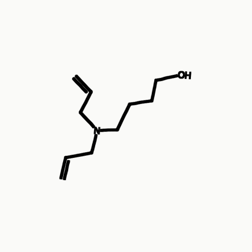 C=CCN(CC=C)CCCCO